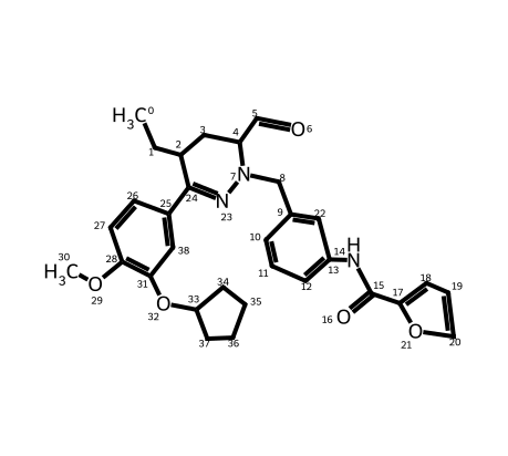 CCC1CC(C=O)N(Cc2cccc(NC(=O)c3ccco3)c2)N=C1c1ccc(OC)c(OC2CCCC2)c1